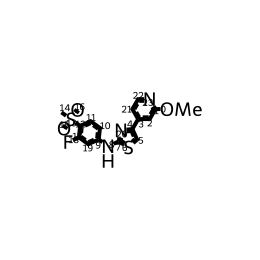 COc1cc(-c2csc(Nc3ccc(S(C)(=O)=O)c(F)c3)n2)ccn1